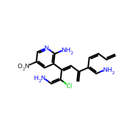 C=C/C=C\C(=C/N)C(=C)/C=C(\C(Cl)=C/N)c1cc([N+](=O)[O-])cnc1N